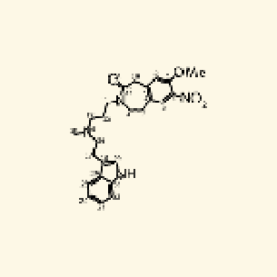 COc1cc2c(cc1[N+](=O)[O-])CCN(CCCN(C)CCc1c[nH]c3ccccc13)C(=O)C2